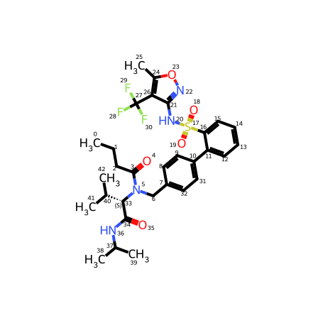 CCCC(=O)N(Cc1ccc(-c2ccccc2S(=O)(=O)Nc2noc(C)c2C(F)(F)F)cc1)[C@H](C(=O)NC(C)C)C(C)C